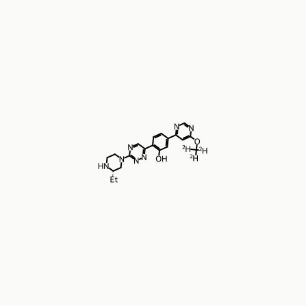 [2H]C([2H])([2H])Oc1cc(-c2ccc(-c3cnc(N4CCN[C@@H](CC)C4)nn3)c(O)c2)ncn1